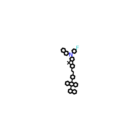 CC1(C)c2cc(/C=C/c3ccc(-c4c5ccccc5c(-c5cccc6ccccc56)c5ccccc45)cc3)ccc2-c2ccc(N(c3ccc(F)cc3)c3ccc4ccccc4c3)cc21